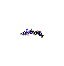 COc1ccc(NC(=O)N2CCC(=Cc3cccc(Oc4ncc(C5CC5)cn4)c3)C(C)C2)cn1